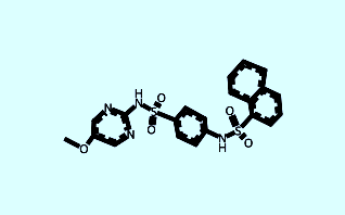 COc1cnc(NS(=O)(=O)c2ccc(NS(=O)(=O)c3cccc4ccccc34)cc2)nc1